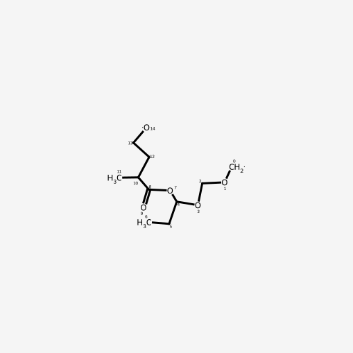 [CH2]OCOC(CC)OC(=O)C(C)CC[O]